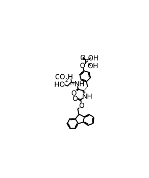 O=C(N[C@@H](Cc1ccc(OP(=O)(O)O)cc1)C(=O)N[C@@H](CO)C(=O)O)OCC1c2ccccc2-c2ccccc21